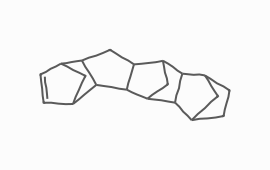 C1=CC2CC1C1CC3C4CC(C5C6CCC(C6)C45)C3C21